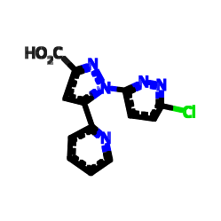 O=C(O)c1cc(-c2ccccn2)n(-c2ccc(Cl)nn2)n1